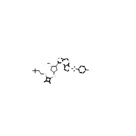 CC[C@@H]1CC(Nc2c(NCCC(F)(F)F)c(=O)c2=O)CC1c1nnc2cnc3c(ccn3S(=O)(=O)c3ccc(C)cc3)n12